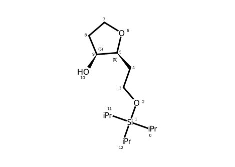 CC(C)[Si](OCC[C@@H]1OCC[C@@H]1O)(C(C)C)C(C)C